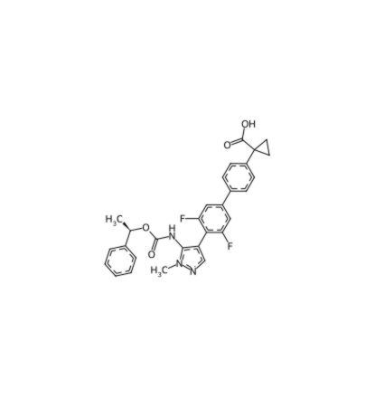 C[C@@H](OC(=O)Nc1c(-c2c(F)cc(-c3ccc(C4(C(=O)O)CC4)cc3)cc2F)cnn1C)c1ccccc1